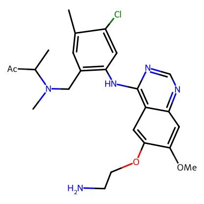 COc1cc2ncnc(Nc3cc(Cl)c(C)cc3CN(C)C(C)C(C)=O)c2cc1OCCN